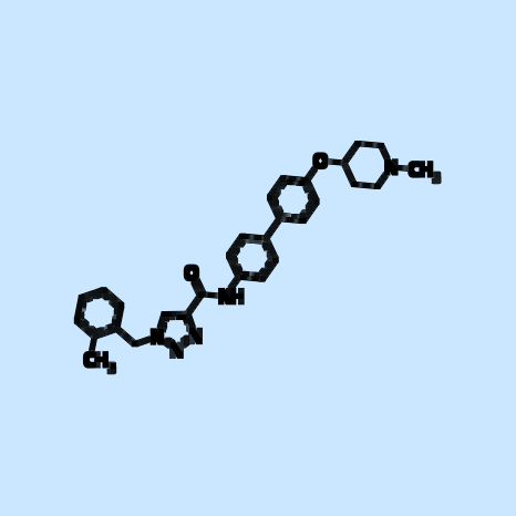 Cc1ccccc1Cn1cc(C(=O)Nc2ccc(-c3ccc(OC4CCN(C)CC4)cc3)cc2)nn1